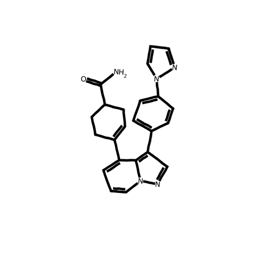 NC(=O)C1CC=C(c2cccn3ncc(-c4ccc(-n5cccn5)cc4)c23)CC1